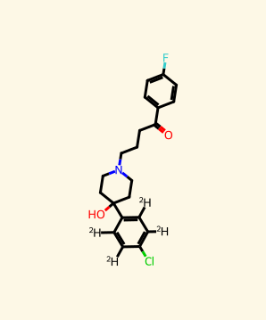 [2H]c1c([2H])c(C2(O)CCN(CCCC(=O)c3ccc(F)cc3)CC2)c([2H])c([2H])c1Cl